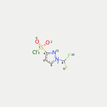 O=S(=O)(Cl)c1ccn(C(F)F)n1